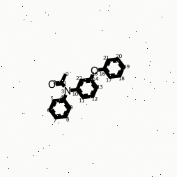 CC(=O)N(c1ccccc1)c1cccc(Oc2ccccc2)c1